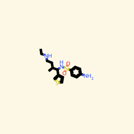 CCNCCC(C)C(NS(=O)(=O)c1ccc(N)cc1)c1ccsc1